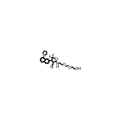 N#C/C(C(=O)NCCOCCOCCO)=C(\c1ccc2cccc(N3CCCC3)c2c1)C(F)(F)F